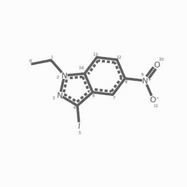 C[CH]n1nc(I)c2cc([N+](=O)[O-])ccc21